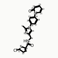 Cc1nc(CNC(=O)C2=CCC(Cl)S2)cn1-c1ccc(-n2ccccc2=O)cc1